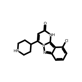 O=c1cc(C2CCNCC2)n2nc3cccc(Cl)c3c2[nH]1